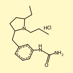 CCCN1C(CC)CCC1Cc1cccc(NC(N)=O)c1.Cl